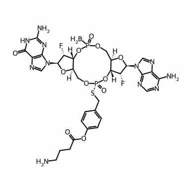 BP1(=O)OC[C@H]2O[C@@H](n3cnc4c(N)ncnc43)[C@H](F)[C@@H]2O[P@](=O)(SCc2ccc(OC(=O)CCCN)cc2)OC[C@H]2O[C@@H](n3cnc4c(=O)[nH]c(N)nc43)[C@H](F)[C@@H]2O1